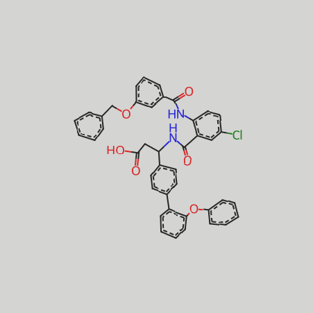 O=C(O)CC(NC(=O)c1cc(Cl)ccc1NC(=O)c1cccc(OCc2ccccc2)c1)c1ccc(-c2ccccc2Oc2ccccc2)cc1